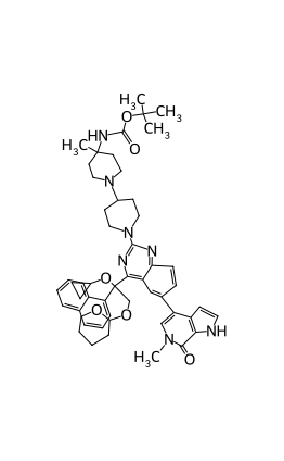 Cn1cc(-c2ccc3nc(N4CCC(N5CCC(C)(NC(=O)OC(C)(C)C)CC5)CC4)nc(C(COC4CCCCO4)(OC4CC4)c4cccc5ccccc45)c3c2)c2cc[nH]c2c1=O